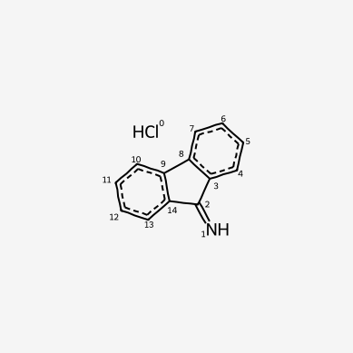 Cl.N=C1c2ccccc2-c2ccccc21